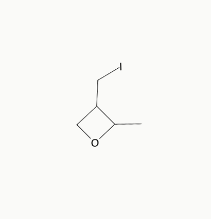 CC1OCC1CI